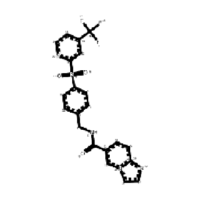 O=C(NCc1ccc(S(=O)(=O)c2cc(C(F)(F)F)ccn2)cc1)c1ccc2nccn2c1